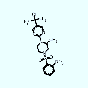 CC1CN(S(=O)(=O)c2ccccc2[N+](=O)[O-])CCN1c1ncc(C(O)(C(F)(F)F)C(F)(F)F)cn1